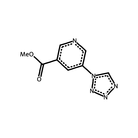 COC(=O)c1cncc(-n2cnnn2)c1